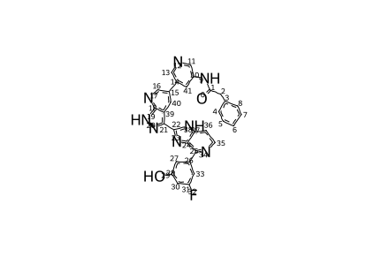 O=C(Cc1ccccc1)Nc1cncc(-c2cnc3[nH]nc(-c4nc5c(-c6cc(O)cc(F)c6)nccc5[nH]4)c3c2)c1